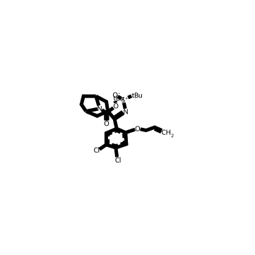 C=CCOc1cc(Cl)c(Cl)cc1C(=N[S+]([O-])C(C)(C)C)C1CC2CCC(C1)N2C(=O)OC(C)(C)C